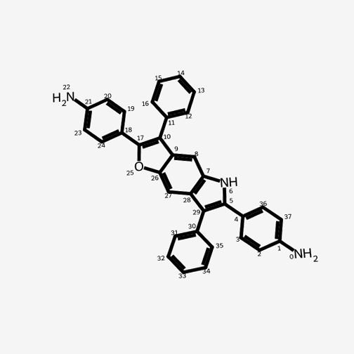 Nc1ccc(-c2[nH]c3cc4c(-c5ccccc5)c(-c5ccc(N)cc5)oc4cc3c2-c2ccccc2)cc1